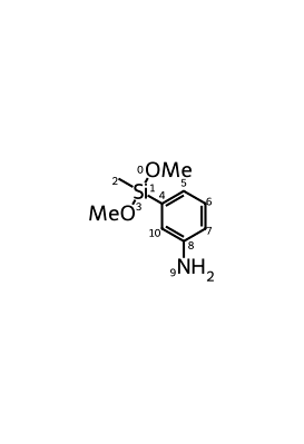 CO[Si](C)(OC)c1cccc(N)c1